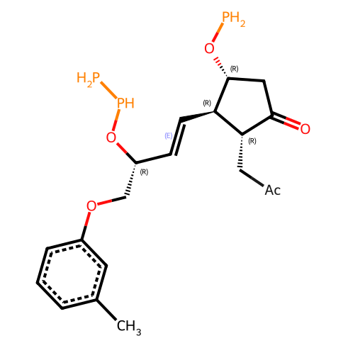 CC(=O)C[C@H]1C(=O)C[C@@H](OP)[C@@H]1/C=C/[C@H](COc1cccc(C)c1)OPP